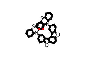 c1ccc2c(c1)Sc1ccccc1N2c1ccc2oc3ccc4oc5ccc(N6c7ccccc7Sc7ccccc76)cc5c4c3c2c1